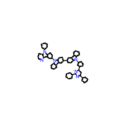 c1ccc(-c2cc(-c3cccc(-n4c5ccccc5c5cc(-c6ccc7c(c6)c6ccccc6n7-c6ccc7c(c6)c6ncccc6n7-c6ccccc6)ccc54)c3)nc(-c3ccccc3)n2)cc1